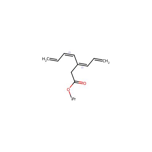 C=C/C=C\C(=C/C=C)CC(=O)OC(C)C